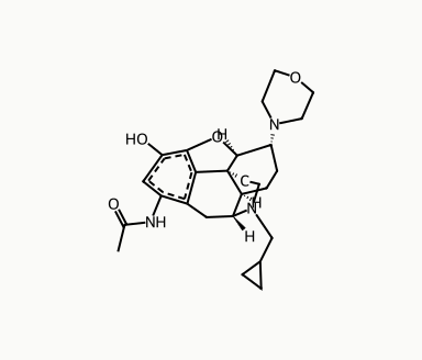 CC(=O)Nc1cc(O)c2c3c1C[C@@H]1[C@@H]4CC[C@@H](N5CCOCC5)[C@H](O2)[C@]34CCN1CC1CC1